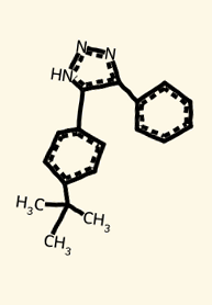 CC(C)(C)c1ccc(-c2[nH]nnc2-c2ccccc2)cc1